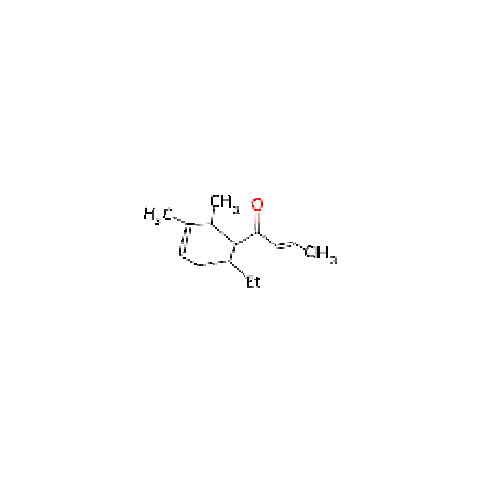 CC=CC(=O)C1C(CC)CC=C(C)C1C